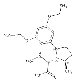 CCOc1cc(OCC)cc([SH]2CC[C@@H](C)[C@@H]2C(NC)C(=O)O)c1